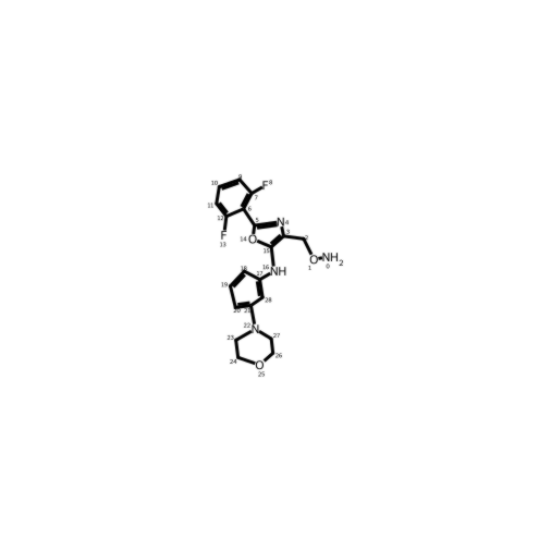 NOCc1nc(-c2c(F)cccc2F)oc1Nc1cccc(N2CCOCC2)c1